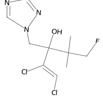 CC(C)(CF)C(O)(Cn1cncn1)C(Cl)=CCl